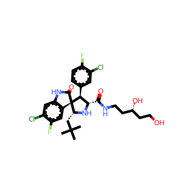 CC(C)(C)C[C@H]1N[C@@H](C(=O)NCC[C@H](O)CCO)[C@H](c2ccc(F)c(Cl)c2)[C@@]12C(=O)Nc1cc(Cl)c(F)cc12